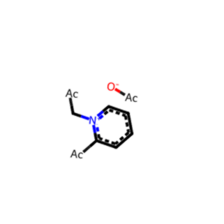 CC(=O)C[n+]1ccccc1C(C)=O.CC(=O)[O-]